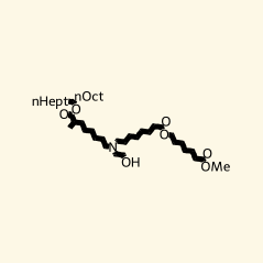 CCCCCCCCC(CCCCCCC)OC(=O)C(C)CCCCCCN(CCO)CCCCCCCC(=O)OCCCCCCC(=O)OC